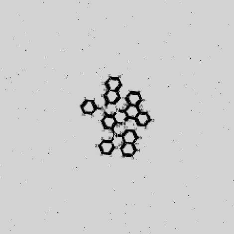 c1ccc(N(c2ccc3ccccc3c2)c2ccc(N(c3ccccc3)c3cccc4ccccc34)c3nc4c5ccccc5c5ccccc5c4nc23)cc1